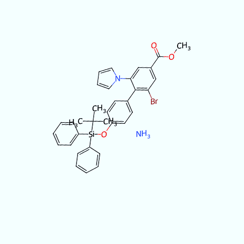 COC(=O)c1cc(Br)c(-c2ccc(O[Si](c3ccccc3)(c3ccccc3)C(C)(C)C)cc2)c(-n2cccc2)c1.N